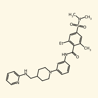 CCc1cc(S(=O)(=O)N(C)C)cc(C)c1C(=O)Nc1[c]c(N2CCC(CNc3ccccn3)CC2)ccc1